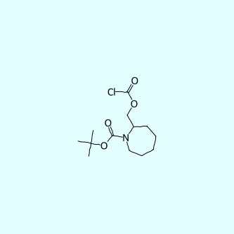 CC(C)(C)OC(=O)N1CCCCCC1COC(=O)Cl